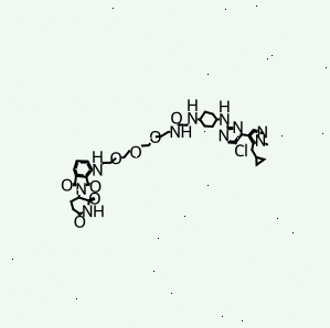 Cn1ncc(-c2nc(NC3CCC(NCC(=O)NCCOCCOCCOCCNc4cccc5c4C(=O)N(C4CCC(=O)NC4=O)C5=O)CC3)ncc2Cl)c1CC1CC1